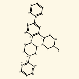 CN1CCN(c2cc(-c3ccccc3)nnc2N2CCN(c3ncccn3)CC2)CC1